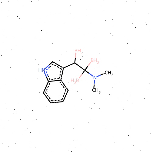 BC(c1c[nH]c2ccccc12)C(B)(B)N(C)C